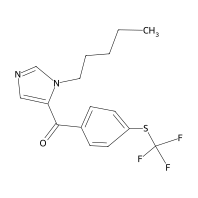 CCCCCn1cncc1C(=O)c1ccc(SC(F)(F)F)cc1